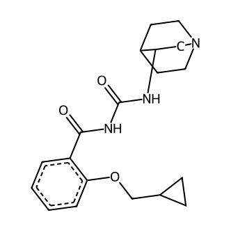 O=C(NC(=O)c1ccccc1OCC1CC1)NC1CN2CCC1CC2